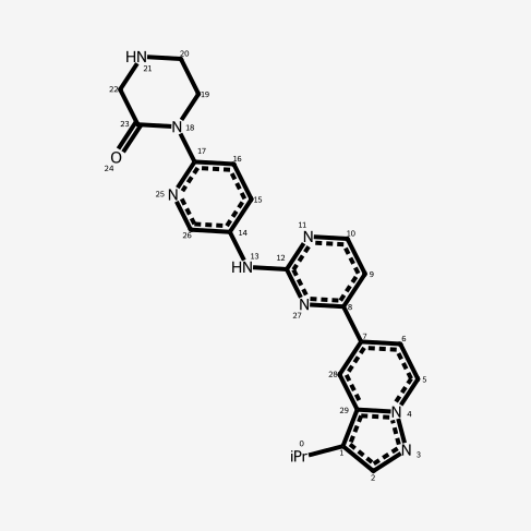 CC(C)c1cnn2ccc(-c3ccnc(Nc4ccc(N5CCNCC5=O)nc4)n3)cc12